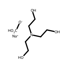 O=C([O-])O.OCCN(CCO)CCO.[Na+]